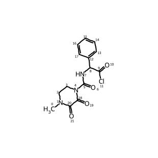 CN1CCN(C(=O)NC(C(=O)Cl)c2ccccc2)C(=O)C1=O